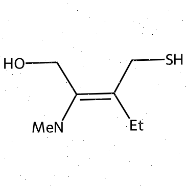 CC/C(CS)=C(/CO)NC